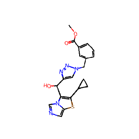 COC(=O)c1cccc(Cn2cc(C(O)c3c(C4CC4)sc4cncn34)nn2)c1